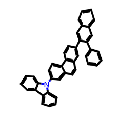 c1ccc(-c2cc3ccccc3cc2-c2ccc3c(ccc4cc(-n5c6ccccc6c6ccccc65)ccc43)c2)cc1